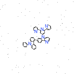 c1ccc(-n2c3ccccc3c3c(-c4ccc5c6ncccc6n(-c6cc(-c7ccccn7)nc(-c7ccccn7)c6)c5c4)cccc32)cc1